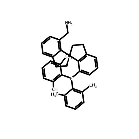 Cc1cccc(C)c1P(c1cccc2c1[C@@]1(CCc3cccc(CN)c31)CC2)c1c(C)cccc1C